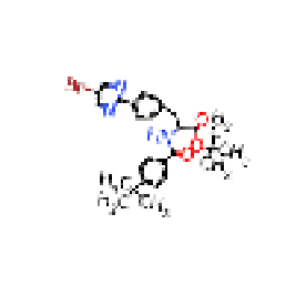 CC(C)(C)OC(=O)C(Cc1ccc(-c2ncc(Br)cn2)cc1)NC(=O)c1ccc(C(C)(C)C)cc1